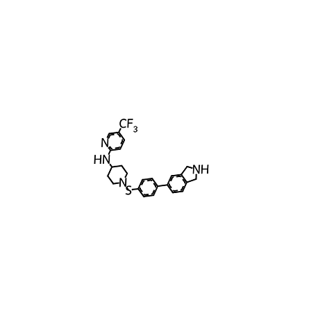 FC(F)(F)c1ccc(NC2CCN(Sc3ccc(-c4ccc5c(c4)CNC5)cc3)CC2)nc1